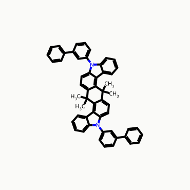 CC1(C)c2ccc3c(c2C(C)(C)c2ccc4c(c21)c1ccccc1n4-c1cccc(-c2ccccc2)c1)c1ccccc1n3-c1cccc(-c2ccccc2)c1